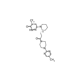 Cc1cnc(N2CCN(C(=O)CC[C@H]3CCCCN3c3cc(C(F)(F)F)c(=O)[nH]n3)CC2)nc1